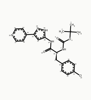 CC(C)(C)OC(=O)N[C@@H](Cc1ccc(Cl)cc1)C(=O)Nc1cc(-c2ccncc2)n[nH]1